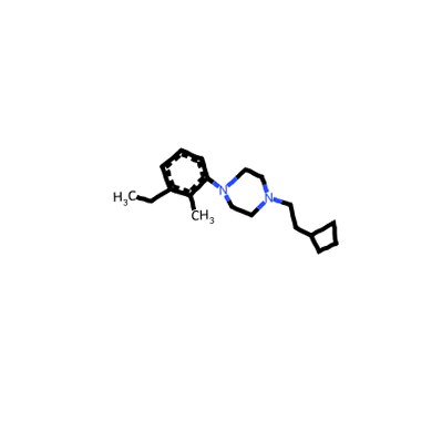 CCc1cccc(N2CCN(CCC3CCC3)CC2)c1C